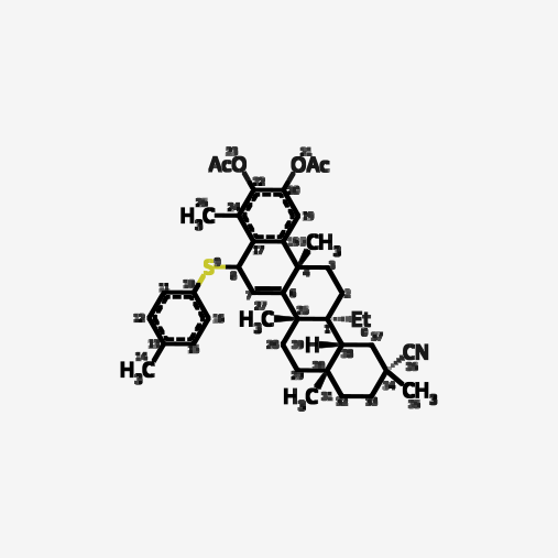 CC[C@@]12CC[C@]3(C)C(=CC(Sc4ccc(C)cc4)c4c3cc(OC(C)=O)c(OC(C)=O)c4C)[C@@]1(C)CC[C@@]1(C)CC[C@@](C)(C#N)C[C@H]12